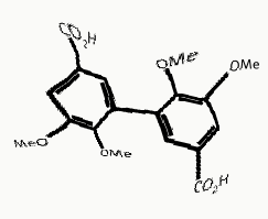 COc1cc(C(=O)O)cc(-c2cc(C(=O)O)cc(OC)c2OC)c1OC